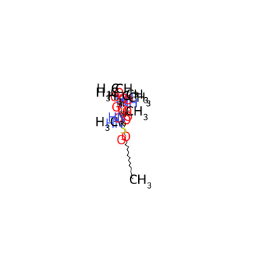 CCCCCCCCCCCCCCCC(=O)OCCSC[C@H](NC(C)=O)C(=O)N[C@@H](COC(=O)[C@H](CNC(=O)OC(C)(C)C)NC(=O)OC(C)(C)C)C(=O)OC